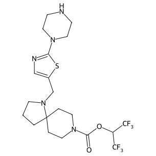 O=C(OC(C(F)(F)F)C(F)(F)F)N1CCC2(CCCN2Cc2cnc(N3CCNCC3)s2)CC1